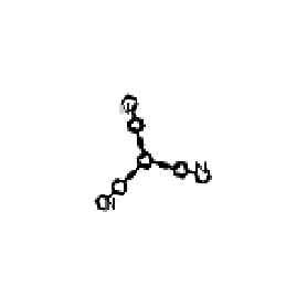 C(#Cc1cc(C#Cc2ccc(-c3ccccn3)cc2)cc(C#Cc2ccc(-c3ccccn3)cc2)c1)c1ccc(-c2ccccn2)cc1